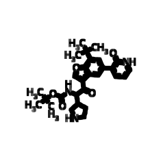 CC(C)(C)OC(=O)NC(C(=O)c1coc2c(C(C)(C)C)cc(-c3ccc[nH]c3=O)cc12)C1CCNC1